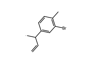 [CH2]C(C=C)c1ccc(C)c(Br)c1